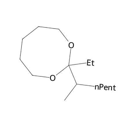 CCCCCC(C)C1(CC)OCCCCCO1